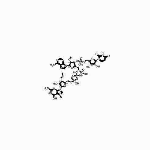 COC[C@H]1[C@@H](O)[C@H](n2c[n+](C)c3c2N=C(N)NC3O)O[C@@H]1COP(=O)(O)OP(=O)(O)NP(=O)(O)OC[C@H]1O[C@@H](n2cnc3c(N)ncnc32)[C@H](OC)[C@@H]1OP(=O)(O)OC[C@H]1O[C@@H](n2ccc(=O)[nH]c2=O)[C@H](O)[C@@H]1O